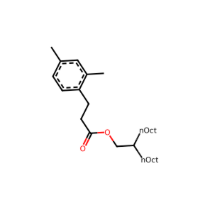 CCCCCCCCC(CCCCCCCC)COC(=O)CCc1ccc(C)cc1C